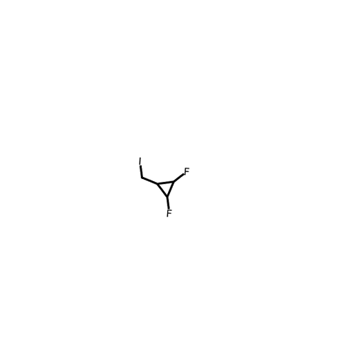 FC1C(F)C1CI